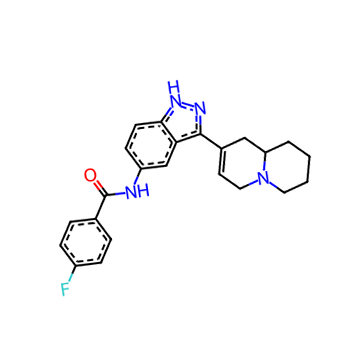 O=C(Nc1ccc2[nH]nc(C3=CCN4CCCCC4C3)c2c1)c1ccc(F)cc1